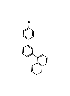 Brc1ccc(-c2cccc(-c3cccc4c3C=CCC4)c2)cc1